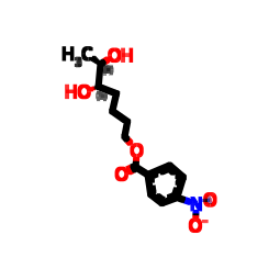 C[C@@H](O)[C@@H](O)CCCCOC(=O)c1ccc([N+](=O)[O-])cc1